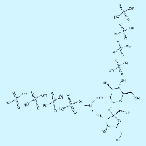 CN(C)C.O=S(=O)(O)O.O=S(=O)(O)O.O=S(=O)(O)O.O=S(=O)(O)O.O=S(=O)(O)O.O=S(=O)(O)O.O=S(=O)(O)O.O=S(=O)(O)O.OC[C@H]1O[C@@](CO)(O[C@H]2O[C@H](CO)[C@@H](O)[C@H](O)[C@H]2O)[C@@H](O)[C@@H]1O